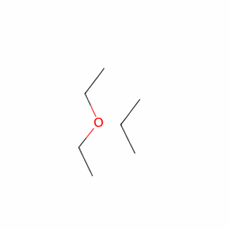 CCC.CCOCC